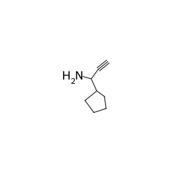 C#CC(N)C1CCCC1